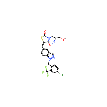 COC[C@@H](N)CN1C(=O)SC(=Cc2ccc3c(cnn3Cc3ccc(Cl)cc3C(F)(F)F)c2)C1=O